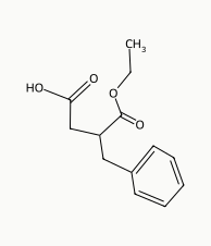 CCOC(=O)C(CC(=O)O)Cc1ccccc1